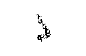 C[C@@H](Nc1c(Cl)cnc2cnc(-c3cnc(N4CCN(CC(=O)O)CC4)nc3)cc12)c1ccccc1F